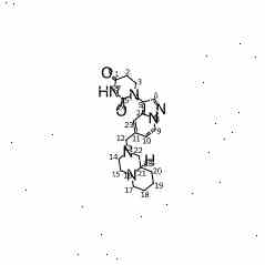 O=C1CCN(c2cnn3ccc(CN4CCN5CCCC[C@H]5C4)cc23)C(=O)N1